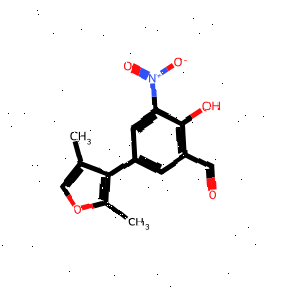 Cc1coc(C)c1-c1cc(C=O)c(O)c([N+](=O)[O-])c1